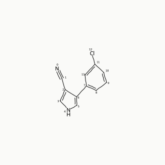 N#Cc1c[nH]cc1-c1cccc(Cl)c1